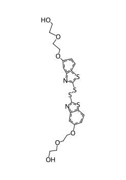 OCCOCCOc1ccc2sc(SSc3nc4cc(OCCOCCO)ccc4s3)nc2c1